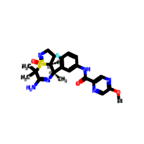 CCOc1cnc(C(=O)Nc2ccc(F)c([C@@]3(C)N=C(N)C(C)(C)S4(=O)=NCC[C@@H]34)c2)cn1